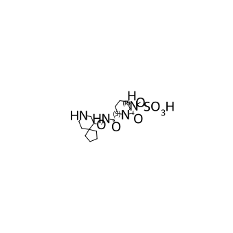 O=C(NOC1CNCCC12CCCC2)[C@@H]1CC[C@@H]2CN1C(=O)N2OS(=O)(=O)O